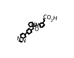 O=C(O)/C=C/c1cccc(NC(=O)C2(Cc3ccc(-c4ccc5nccnc5c4)cc3)CCCCC2)c1